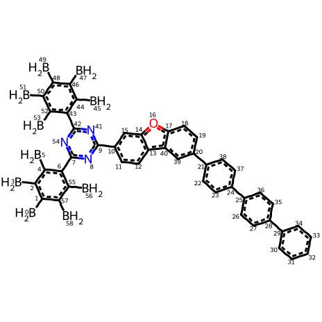 Bc1c(B)c(B)c(-c2nc(-c3ccc4c(c3)oc3ccc(-c5ccc(-c6ccc(-c7ccccc7)cc6)cc5)cc34)nc(-c3c(B)c(B)c(B)c(B)c3B)n2)c(B)c1B